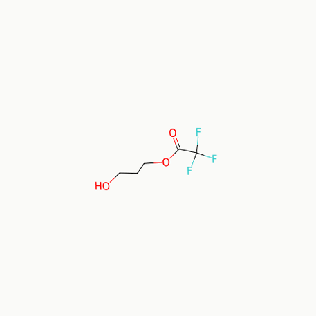 O=C(OCCCO)C(F)(F)F